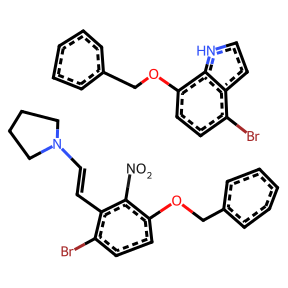 Brc1ccc(OCc2ccccc2)c2[nH]ccc12.O=[N+]([O-])c1c(OCc2ccccc2)ccc(Br)c1C=CN1CCCC1